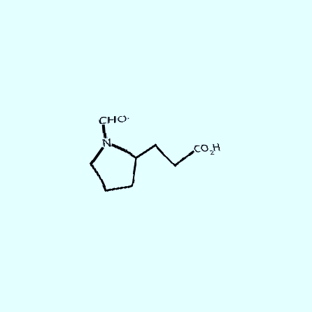 O=[C]N1CCCC1CCC(=O)O